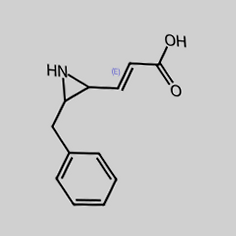 O=C(O)/C=C/C1NC1Cc1ccccc1